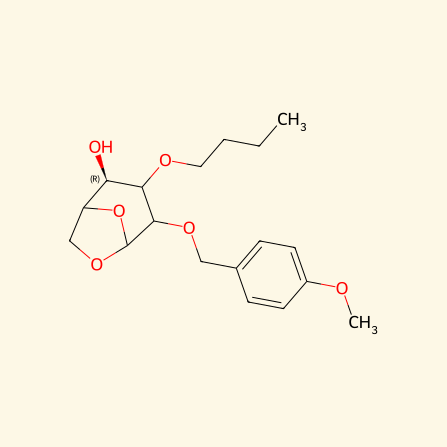 CCCCOC1C(OCc2ccc(OC)cc2)C2OCC(O2)[C@H]1O